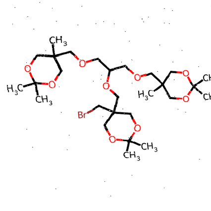 CC1(COCC(COCC2(C)COC(C)(C)OC2)OCC2(CBr)COC(C)(C)OC2)COC(C)(C)OC1